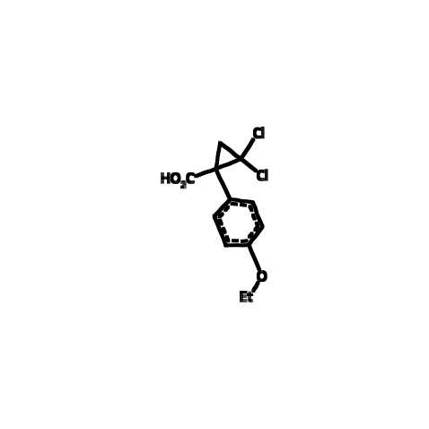 CCOc1ccc(C2(C(=O)O)CC2(Cl)Cl)cc1